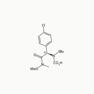 CON(C)C(=O)[C@@H](c1ccc(Cl)cc1)N(C(=O)O)C(C)(C)C